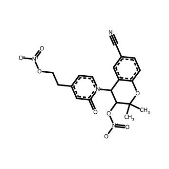 CC1(C)Oc2ccc(C#N)cc2C(n2ccc(CCO[N+](=O)[O-])cc2=O)C1O[N+](=O)[O-]